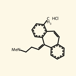 CNCC/C=C1/c2ccccc2C=Cc2c(C)cccc21.Cl